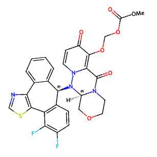 COC(=O)OCOc1c2n(ccc1=O)N([C@@H]1c3ccccc3-c3ncsc3-c3c1ccc(F)c3F)[C@@H]1COCCN1C2=O